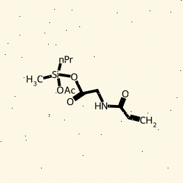 C=CC(=O)NCC(=O)O[Si](C)(CCC)OC(C)=O